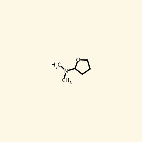 CN(C)C1CCCO1